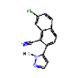 Cn1nccc1-c1ccc2ccc(Cl)cc2c1C#N